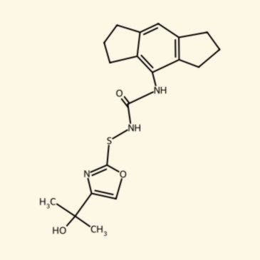 CC(C)(O)c1coc(SNC(=O)Nc2c3c(cc4c2CCC4)CCC3)n1